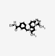 CCNC(=O)c1cccc(Cn2c(C)cc3c2ccc2nnc(C)n23)c1